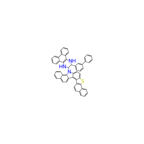 c1ccc(-c2cccc(C3Nc4c(c5ccccc5c5ccccc45)NC3n3c4ccc5sc6c7ccccc7ccc6c5c4c4ccc5ccccc5c43)c2)cc1